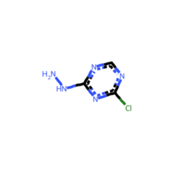 NNc1ncnc(Cl)n1